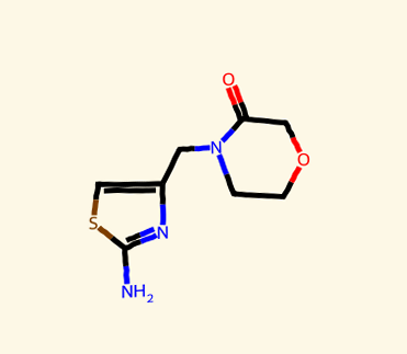 Nc1nc(CN2CCOCC2=O)cs1